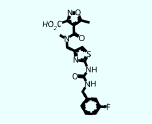 Cc1onc(C(=O)O)c1C(=O)N(C)Cc1csc(NC(=O)NCc2cccc(F)c2)n1